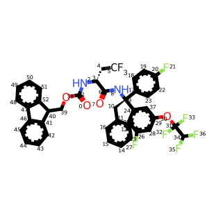 O=C(N[C@H](CC(F)(F)F)C(=O)N[C@](Cc1ccccc1)(c1ccc(F)cc1)c1cc(F)cc(OC(F)(F)C(F)F)c1)OCC1c2ccccc2-c2ccccc21